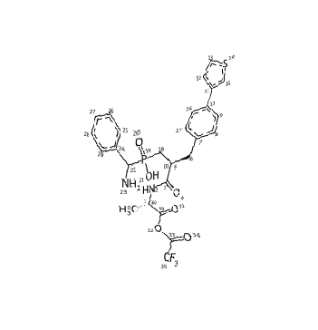 C[C@H](NC(=O)[C@H](Cc1ccc(-c2ccsc2)cc1)CP(=O)(O)C(N)c1ccccc1)C(=O)OC(=O)C(F)(F)F